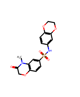 CN1C(=O)COc2ccc(S(=O)(=O)Nc3ccc4c(c3)OCCO4)cc21